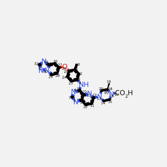 Cc1cc(Nc2ncnc3ccc(N4CCN(C(=O)O)[C@H](C)C4)nc23)ccc1Oc1ccn2ncnc2c1